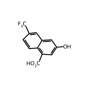 O=C(O)c1cc(O)cc2cc(C(F)(F)F)ccc12